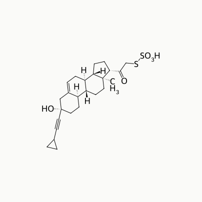 C[C@]12CC[C@H]3[C@@H](CC=C4C[C@](O)(C#CC5CC5)CC[C@@H]43)[C@@H]1CC[C@@H]2C(=O)CSS(=O)(=O)O